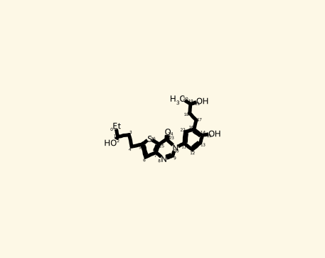 CCC(O)CCc1cc2ncn(-c3ccc(O)c(CCC(C)O)c3)c(=O)c2s1